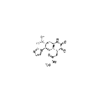 O.O=C(O)Cn1c(=O)c(=O)[nH]c2cc([N+](=O)[O-])c(-n3ccnc3)cc21